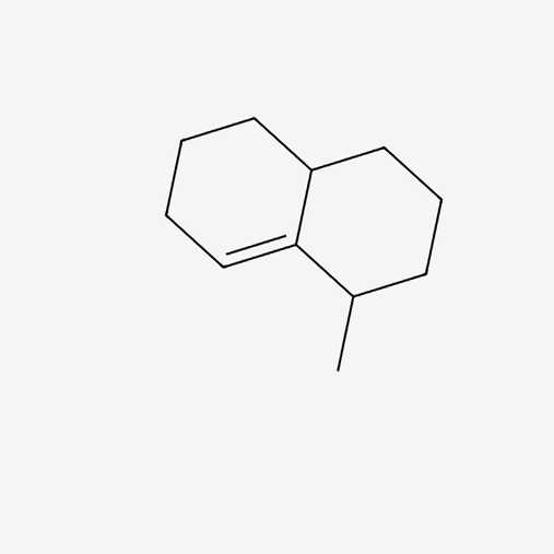 CC1CCCC2CCCC=C12